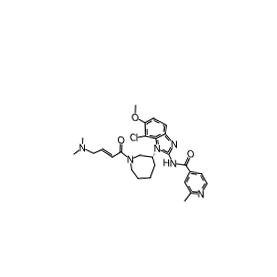 COc1ccc2nc(NC(=O)c3ccnc(C)c3)n([C@@H]3CCCCN(C(=O)/C=C/CN(C)C)C3)c2c1Cl